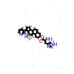 CC12CCC(OC(=O)C(N)Cc3c[nH]cn3)CC1=CCC1C2CCC2(C)C(c3cccnc3)=CCC12